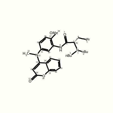 CCCCN(CCCC)[C@@H](CC(C)C)C(=O)Nc1cc(N(C)c2cc(=O)oc3ccccc23)ccc1OC